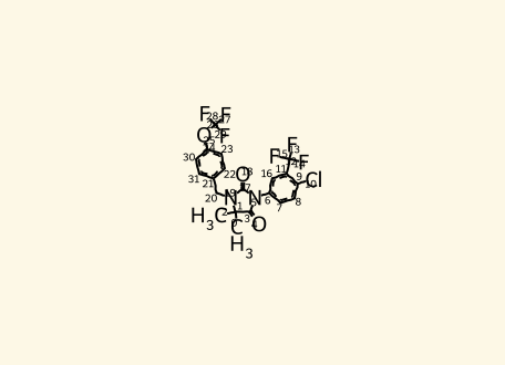 CC1(C)C(=O)N(c2ccc(Cl)c(C(F)(F)F)c2)C(=O)N1Cc1ccc(OC(F)(F)F)cc1